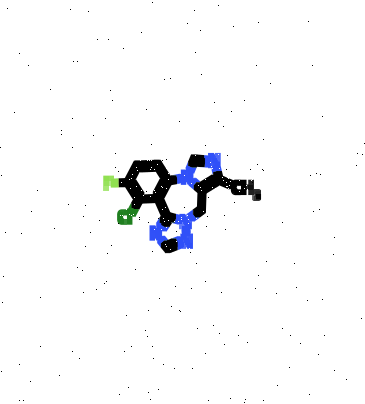 Cc1ncn2c1Cn1ncnc1-c1c-2ccc(F)c1Cl